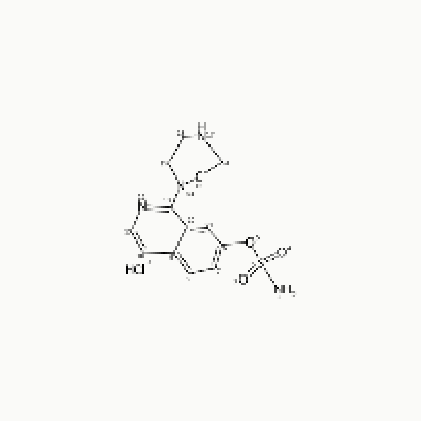 Cl.NS(=O)(=O)Oc1ccc2ccnc(N3CCNCC3)c2c1